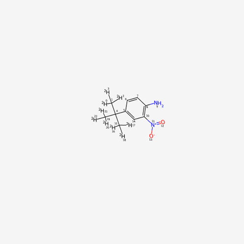 [2H]C([2H])([2H])C(c1ccc(N)c([N+](=O)[O-])c1)(C([2H])([2H])[2H])C([2H])([2H])[2H]